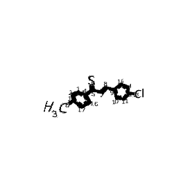 Cc1ccc(C(=S)C=Cc2ccc(Cl)cc2)cc1